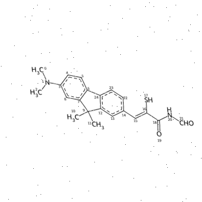 CN(C)c1ccc2c(c1)C(C)(C)c1cc(/C=C(\S)C(=O)NC=O)ccc1-2